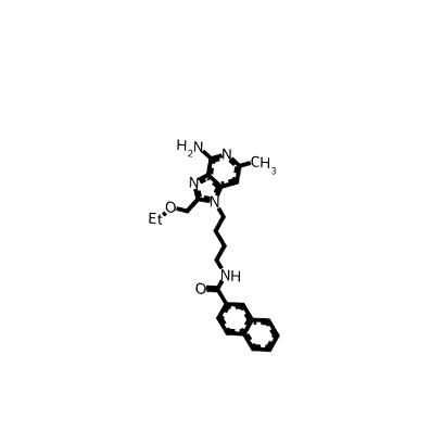 CCOCc1nc2c(N)nc(C)cc2n1CCCCNC(=O)c1ccc2ccccc2c1